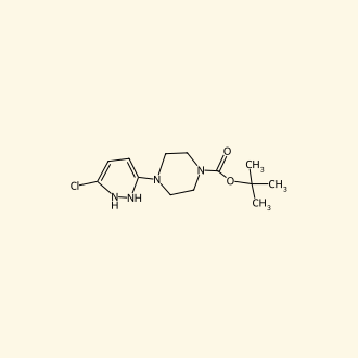 CC(C)(C)OC(=O)N1CCN(C2=CC=C(Cl)NN2)CC1